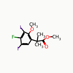 COC(=O)C(C)(C)c1cc(I)c(F)c(I)c1OC